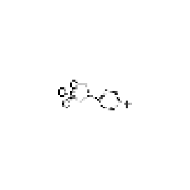 O=S1(=O)C[C@H](c2ccc(F)cc2)CO1